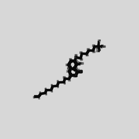 C=CCCCCCCCCCCc1cc2ccc(OCCCCCCC(F)(F)F)c(F)c2c(=O)o1